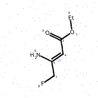 CCOC(=O)/C=C(\N)CF